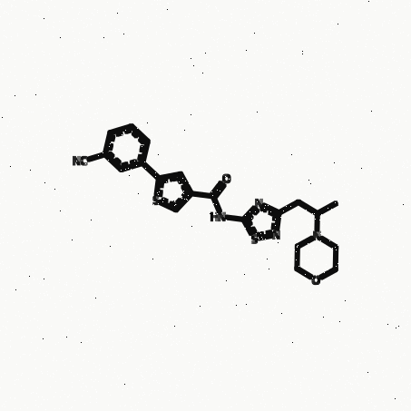 CC(Cc1nsc(NC(=O)c2csc(-c3cccc(C#N)c3)c2)n1)N1CCOCC1